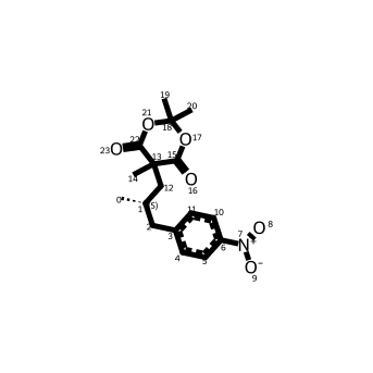 C[C@@H](Cc1ccc([N+](=O)[O-])cc1)CC1(C)C(=O)OC(C)(C)OC1=O